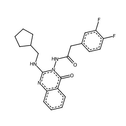 O=C(Cc1ccc(F)c(F)c1)Nn1c(NCC2CCCC2)nc2ccccc2c1=O